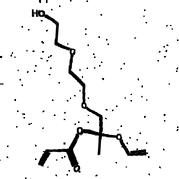 C=COC(C)(COCCOCCO)OC(=O)C=C